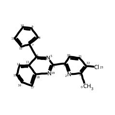 Cc1nc(-c2nc(-c3ccccc3)c3ccccc3n2)ccc1Cl